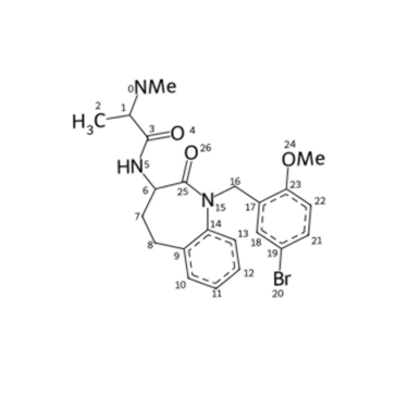 CNC(C)C(=O)NC1CCc2ccccc2N(Cc2cc(Br)ccc2OC)C1=O